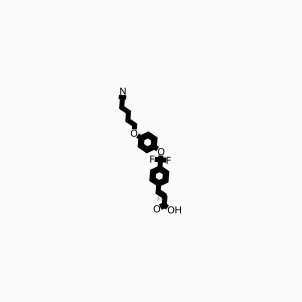 N#CCCCCOc1ccc(OC(F)(F)c2ccc(/C=C/C(=O)O)cc2)cc1